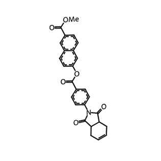 COC(=O)c1ccc2cc(OC(=O)c3ccc(N4C(=O)C5CC=CCC5C4=O)cc3)ccc2c1